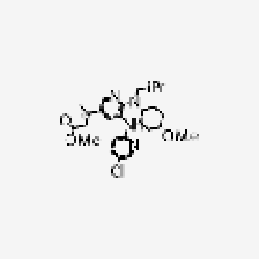 COC(=O)C[C@@H](C)c1cnc(N(CC(C)C)[C@H]2CC[C@@H](OC)CC2)c(Nc2ccc(Cl)cn2)c1